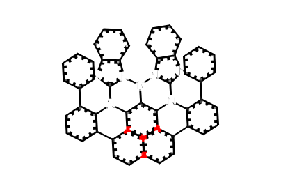 c1ccc(-c2cccc(-c3ccccc3)c2N2c3cccc4c3B(n3c2nc2ccccc23)n2c(nc3ccccc32)N4c2c(-c3ccccc3)cccc2-c2ccccc2)cc1